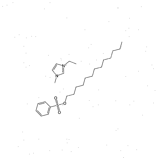 CCCCCCCCCCCCCOS(=O)(=O)c1ccccc1.CC[n+]1ccn(C)c1